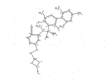 Cc1cc(C)c(-c2cc(C)c(F)c(C(N)(C(C)C)C(C)n3cc(CCN4CC(F)C4)cnc3=O)c2F)c(C)c1